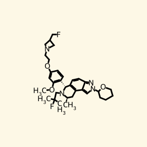 COc1cc(OCCN2CC(CF)C2)ccc1[C@@H]1c2ccc3nn(C4CCCCO4)cc3c2C[C@@H](C)N1CC(C)(C)F